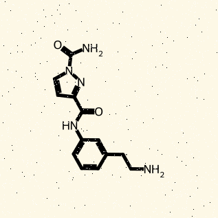 NC[CH]c1cccc(NC(=O)c2ccn(C(N)=O)n2)c1